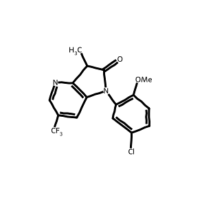 COc1ccc(Cl)cc1N1C(=O)C(C)c2ncc(C(F)(F)F)cc21